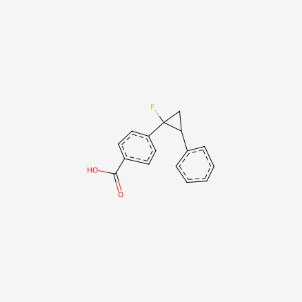 O=C(O)c1ccc(C2(F)CC2c2ccccc2)cc1